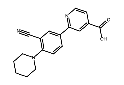 N#Cc1cc(-c2cc(C(=O)O)ccn2)ccc1N1CCCCC1